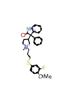 COc1ccc(SCCC[N@+]2(C)CCC(C(C(N)=O)(c3ccccc3)c3ccccc3)C2)cc1F